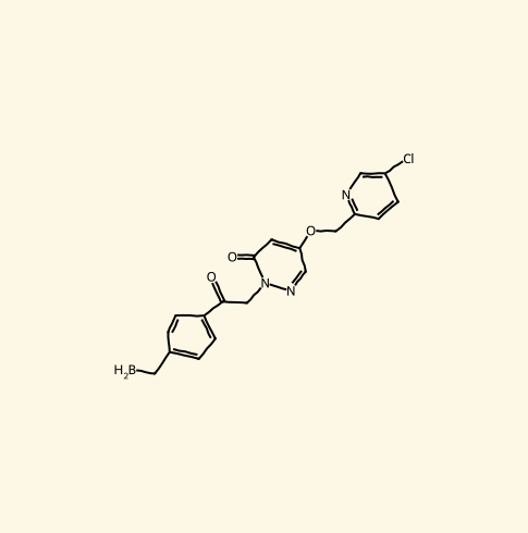 BCc1ccc(C(=O)Cn2ncc(OCc3ccc(Cl)cn3)cc2=O)cc1